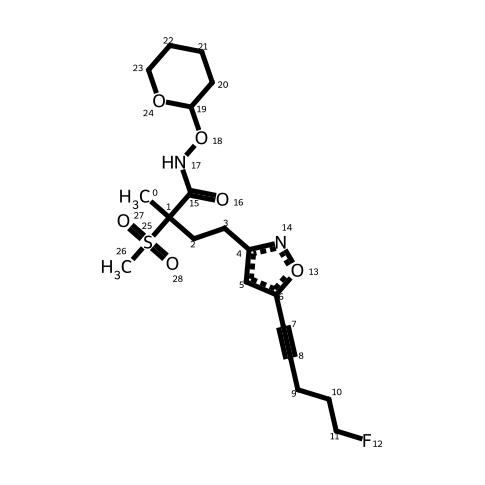 CC(CCc1cc(C#CCCCF)on1)(C(=O)NOC1CCCCO1)S(C)(=O)=O